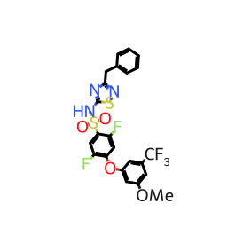 COc1cc(Oc2cc(F)c(S(=O)(=O)Nc3nc(Cc4ccccc4)ns3)cc2F)cc(C(F)(F)F)c1